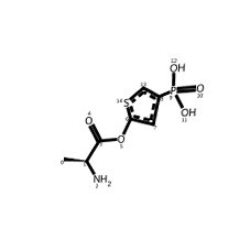 C[C@H](N)C(=O)Oc1cc(P(=O)(O)O)cs1